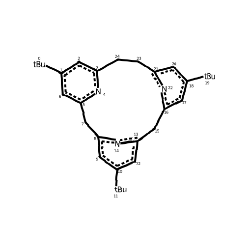 CC(C)(C)c1cc2nc(c1)Cc1cc(C(C)(C)C)cc(n1)Cc1cc(C(C)(C)C)cc(n1)CC2